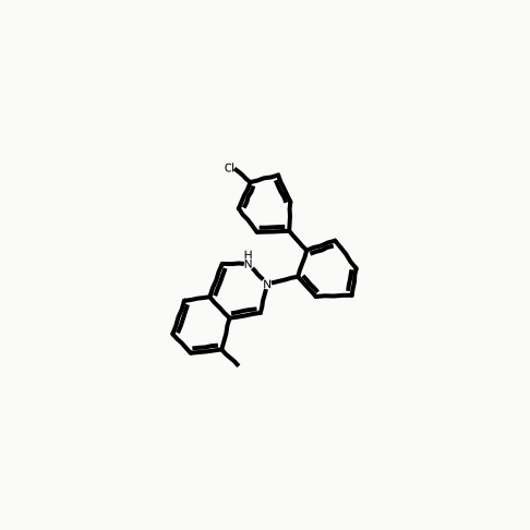 Cc1cccc2c1=CN(c1ccccc1-c1ccc(Cl)cc1)NC=2